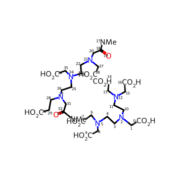 O=C(O)CN(CCN(CC(=O)O)CC(=O)O)CCN(CC(=O)O)CC(=O)O.[CH2]NC(=O)CN(CCN(CCN(CCC(=O)O)CC(=O)NC)CC(=O)O)CC(=O)O